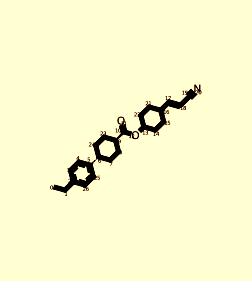 CCc1ccc([C@H]2CC[C@H](C(=O)OC3CCC(/C=C/C#N)CC3)CC2)cc1